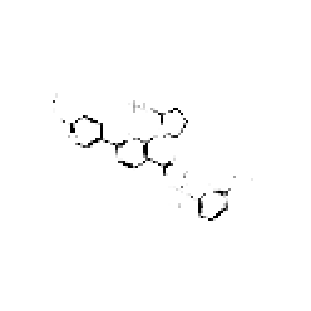 CC(C)Oc1ccc(-c2ccc(C(=O)NS(=O)(=O)c3cccc(N)n3)c(N3CCCC3C(C)(C)C)n2)cn1